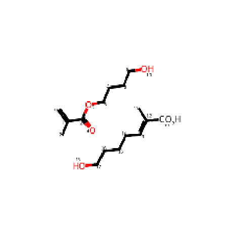 C=C(C)C(=O)OCCCCO.CC(=CCCCCO)C(=O)O